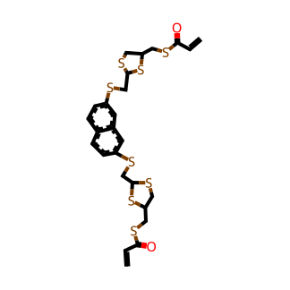 C=CC(=O)SCC1CSC(CSc2ccc3ccc(SCC4SCC(CSC(=O)C=C)S4)cc3c2)S1